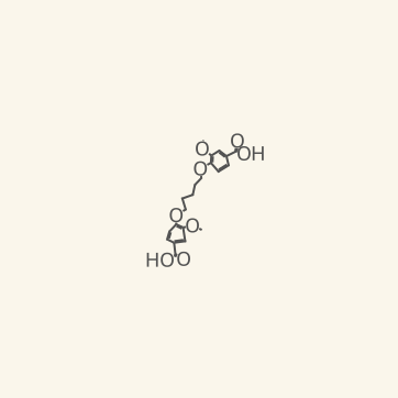 COc1cc(C(=O)O)ccc1OCCCCCOc1ccc(C(=O)O)cc1OC